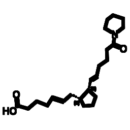 O=C(O)CCCC=CC[C@H]1CCC[C@@H]1C=CCCCC(=O)N1CCCCC1